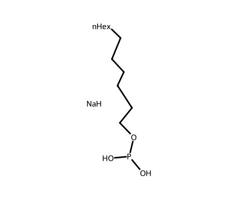 CCCCCCCCCCCCOP(O)O.[NaH]